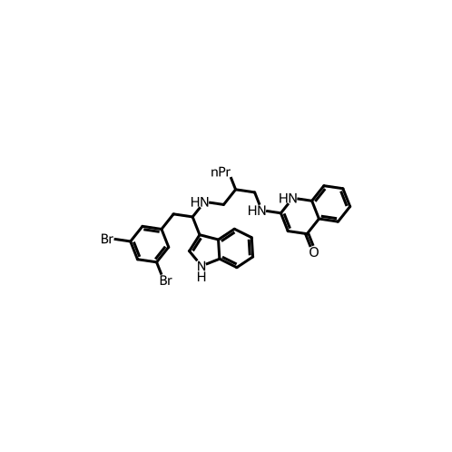 CCCC(CNc1cc(=O)c2ccccc2[nH]1)CNC(Cc1cc(Br)cc(Br)c1)c1c[nH]c2ccccc12